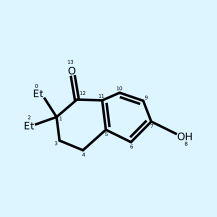 CCC1(CC)CCc2cc(O)ccc2C1=O